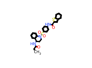 C=CC(=O)NC1CCN(S(=O)(=O)c2ccc(NC(=O)c3cc4ccccc4s3)cc2)c2ccccc21